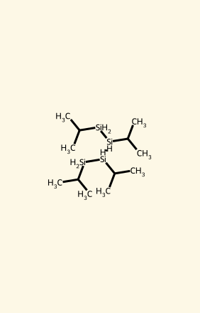 CC(C)[SiH2][SiH](C(C)C)[SiH]([SiH2]C(C)C)C(C)C